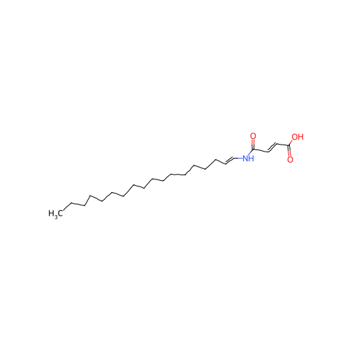 CCCCCCCCCCCCCCCCC=CNC(=O)C=CC(=O)O